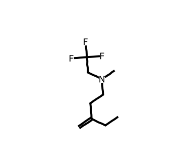 C=C(CC)CCN(C)CC(F)(F)F